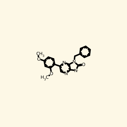 COc1ccc(-c2cnc3c(n2)N(Cc2ccccc2)C(=O)[N]3)c(OC)c1